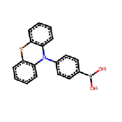 OB(O)c1ccc(N2c3ccccc3Sc3ccccc32)cc1